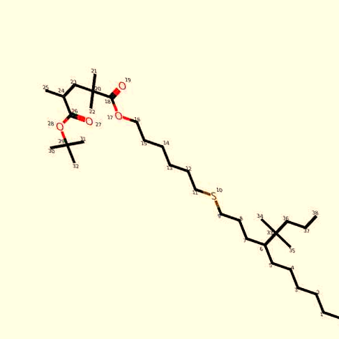 CCCCCCC(CCCSCCCCCCOC(=O)C(C)(C)CC(C)C(=O)OC(C)(C)C)C(C)(C)CCC